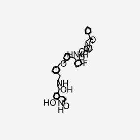 O=C(NC(c1cccc(F)c1)c1cccc(OCc2cccc(CCNCC(O)c3ccc(O)c4[nH]c(=O)ccc34)c2)c1)O[C@H]1C[N+]2(CC(=O)c3ccccc3)CCC1CC2